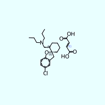 CCCN(CCC)C[C@H]1CCCC[C@]12Cc1cc(Cl)ccc1O2.O=C(O)/C=C/C(=O)O